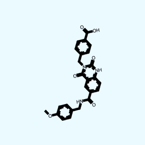 COc1ccc(CNC(=O)c2ccc3[nH]c(=O)n(Cc4ccc(C(=O)O)cc4)c(=O)c3c2)cc1